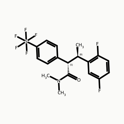 C[C@@H](c1cc(F)ccc1F)[C@H](C(=O)N(C)C)c1ccc(S(F)(F)(F)(F)F)cc1